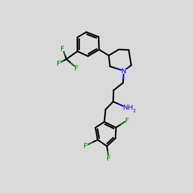 NC(CCN1CCCC(c2cccc(C(F)(F)F)c2)C1)Cc1cc(F)c(F)cc1F